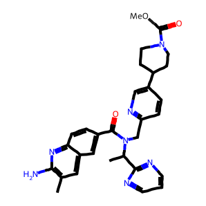 COC(=O)N1CCC(c2ccc(CN(C(=O)c3ccc4nc(N)c(C)cc4c3)C(C)c3ncccn3)nc2)CC1